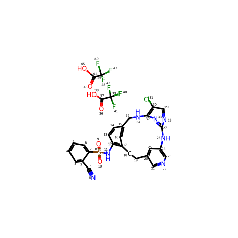 N#Cc1ccccc1S(=O)(=O)Nc1ccc2cc1CCc1cncc(c1)Nc1ncc(Cl)c(n1)NC2.O=C(O)C(F)(F)F.O=C(O)C(F)(F)F